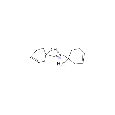 CC1(/C=C/C2(C)CC=CCC2)CC=CCC1